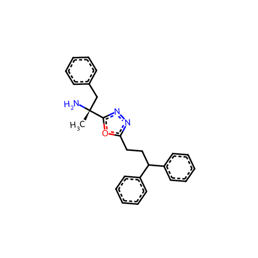 C[C@@](N)(Cc1ccccc1)c1nnc(CCC(c2ccccc2)c2ccccc2)o1